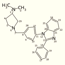 CN(C)C1CCN(Cc2ccc(-n3c(-c4ccccc4)nc4ccccc43)cc2)C1